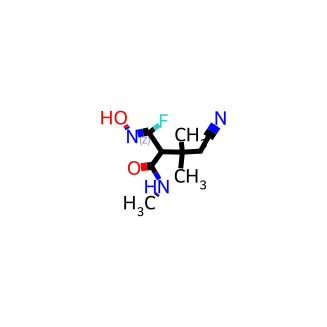 CNC(=O)C(/C(F)=N/O)C(C)(C)CC#N